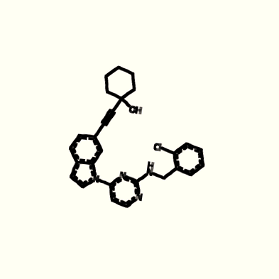 OC1(C#Cc2ccc3ccn(-c4ccnc(NCc5ccccc5Cl)n4)c3c2)CCCCC1